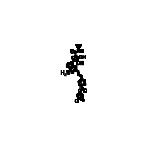 CN1CC(OC(=O)N2CCC(CCCc3nc(N)c4ncn([C@@H]5O[C@H](C(=O)NC6CC6)[C@H](O)C5O)c4n3)CC2)CC1=O